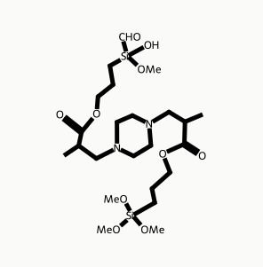 CO[Si](O)(C=O)CCCOC(=O)C(C)CN1CCN(CC(C)C(=O)OCCC[Si](OC)(OC)OC)CC1